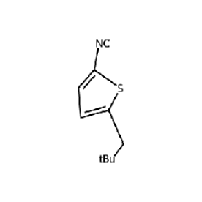 [C-]#[N+]c1ccc(CC(C)(C)C)s1